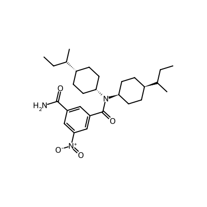 CCC(C)[C@H]1CC[C@@H](N(C(=O)c2cc(C(N)=O)cc([N+](=O)[O-])c2)[C@H]2CC[C@@H](C(C)CC)CC2)CC1